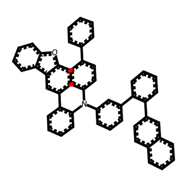 c1ccc(-c2ccc(N(c3cccc(-c4ccccc4-c4ccc5ccccc5c4)c3)c3ccccc3-c3ccc4oc5ccccc5c4c3)cc2)cc1